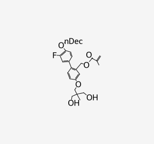 C=C(C)C(=O)OCc1cc(OCC(C)(CO)CO)ccc1-c1ccc(OCCCCCCCCCC)c(F)c1